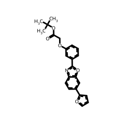 CC(C)(C)OC(=O)COc1cccc(-c2nc3ccc(-c4ccco4)cc3o2)c1